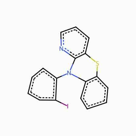 Ic1ccccc1N1c2ccccc2Sc2cccnc21